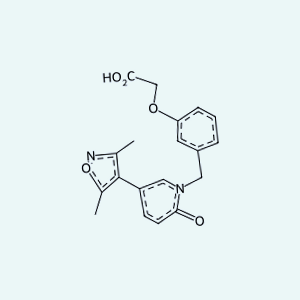 Cc1noc(C)c1-c1ccc(=O)n(Cc2cccc(OCC(=O)O)c2)c1